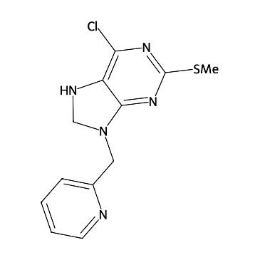 CSc1nc(Cl)c2c(n1)N(Cc1ccccn1)CN2